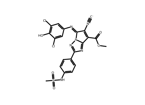 [C-]#[N+]C1=C(C(=O)OC)c2nc(-c3ccc(NS(C)(=O)=O)cc3)nn2C1=Nc1cc(Cl)c(O)c(Cl)c1